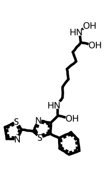 ONC(O)CCCCCCNC(O)c1nc(-c2nccs2)sc1-c1ccccc1